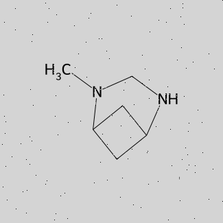 CN1CNC2CC1C2